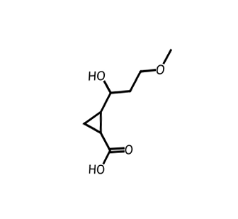 COCCC(O)C1CC1C(=O)O